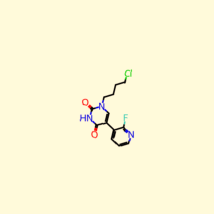 O=c1[nH]c(=O)n(CCCCCl)cc1-c1cccnc1F